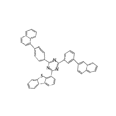 c1cc(-c2ccc3ccccc3c2)cc(-c2nc(-c3ccc(-c4cccc5ccccc45)cc3)nc(-c3cccc4c3sc3ccccc34)n2)c1